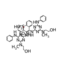 CN(CCO)c1nc(NC(=C(Nc2nc(Nc3ccccc3)nc(N(C)CCO)n2)c2ccccc2S(=O)(=O)O)c2ccccc2S(=O)(=O)O)nc(Nc2ccccc2)n1